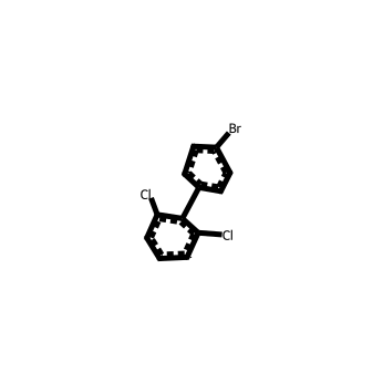 Clc1[c]ccc(Cl)c1-c1ccc(Br)cc1